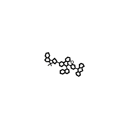 CC1(C)c2cc(-c3ccc4c(-c5cccc6ccccc56)c5c6c(cccc6c4c3)Oc3cc(-c4c6ccccc6cc6ccccc46)ccc3-5)ccc2-c2c1ccc1ccccc21